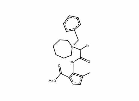 CCC(C(=O)Nc1c(C)csc1C(=O)OC)[N+]1(Cc2ccccc2)CCCCCC1